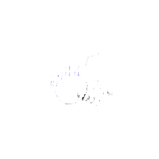 CC(=O)O.CC(=O)O.CC(=O)O.OCCCN1CCCCCCCCNNN1